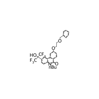 CCCCn1c(=O)c2ccc(OCCOCc3ccccc3)cc2c2cc(C(O)(C(F)(F)F)C(F)(F)F)ccc21